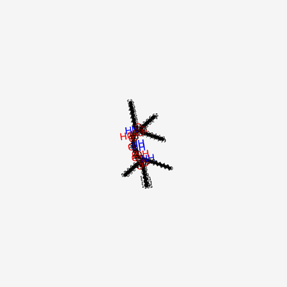 CCCCCCCCCCCCCC(=O)N[C@@H](COP(=O)(O)OCCNC(=O)NCCOP(=O)(O)OC[C@H](NC(=O)CCCCCCCCCCCCC)[C@@H](CCCCCCCCCCC)OC(=O)CCCCCCCCCCC)[C@@H](CCCCCCCCCCC)OC(=O)CCCCCCCCCCC